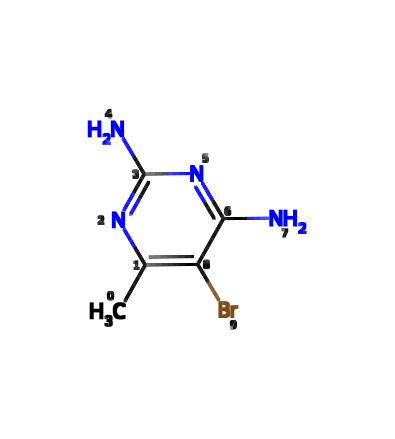 Cc1nc(N)nc(N)c1Br